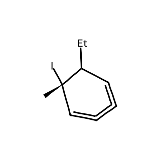 CCC1C=C=C=C[C@]1(C)I